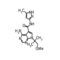 COCC(C)(C)n1cc(C(=O)Nc2cc(C)[nH]n2)c2c(N)ncnc21